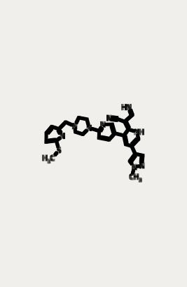 CSc1cccc(CN2CCN(c3ccc(C4=CC(c5cnn(C)c5)=CN/C4=C(/C#N)C=N)cn3)CC2)n1